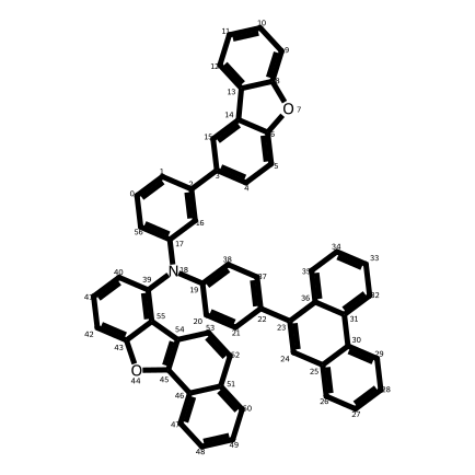 c1cc(-c2ccc3oc4ccccc4c3c2)cc(N(c2ccc(-c3cc4ccccc4c4ccccc34)cc2)c2cccc3oc4c5ccccc5ccc4c23)c1